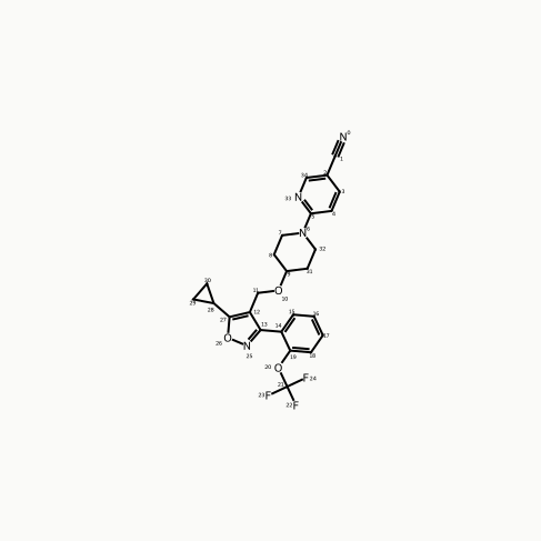 N#Cc1ccc(N2CCC(OCc3c(-c4ccccc4OC(F)(F)F)noc3C3CC3)CC2)nc1